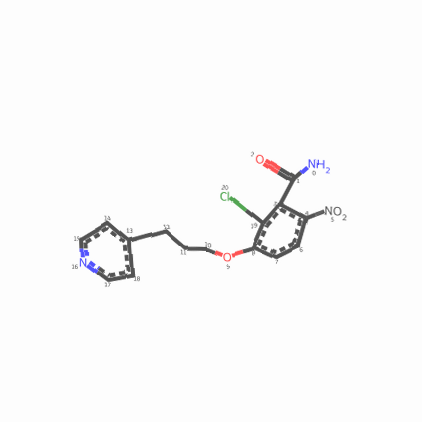 NC(=O)c1c([N+](=O)[O-])ccc(OCCCc2ccncc2)c1Cl